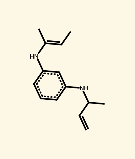 C=CC(C)Nc1cccc(NC(C)=CC)c1